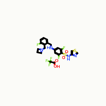 O=C(O)C(F)(F)F.O=S(=O)(Nc1cscn1)c1c(F)cc(NCc2cccc(F)c2CN2CCC2)cc1F